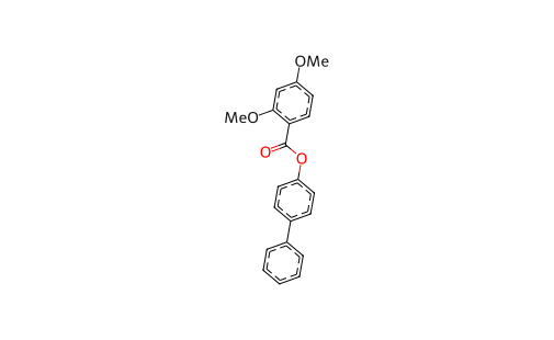 COc1ccc(C(=O)Oc2ccc(-c3ccccc3)cc2)c(OC)c1